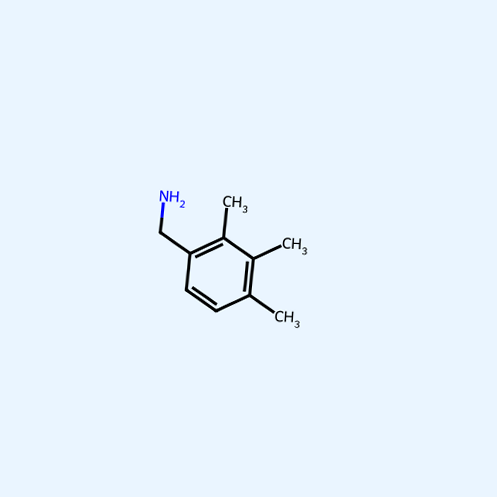 Cc1ccc(CN)c(C)c1C